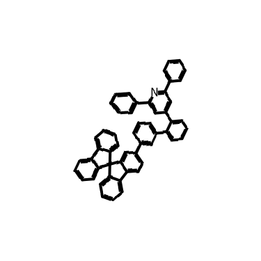 c1ccc(-c2cc(-c3ccccc3-c3cccc(-c4ccc5c(c4)C4(c6ccccc6-c6ccccc64)c4ccccc4-5)c3)cc(-c3ccccc3)n2)cc1